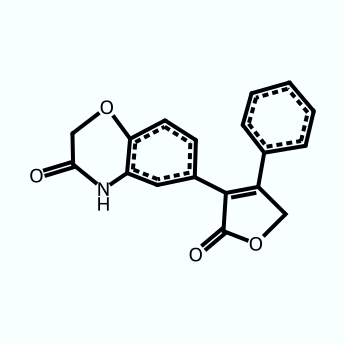 O=C1COc2ccc(C3=C(c4ccccc4)COC3=O)cc2N1